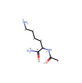 [CH2]C(=O)NC(CCCCN)C(N)=O